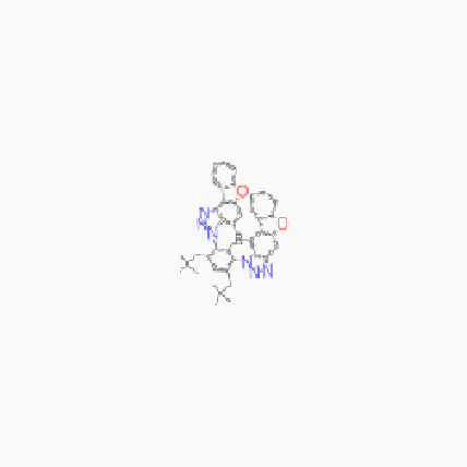 CC(C)(C)Cc1cc(CC(C)(C)C)c2c3c1-n1nnc4cc5oc6ccccc6c5c(c41)B3c1cc3oc4ccccc4c3c3nnn-2c13